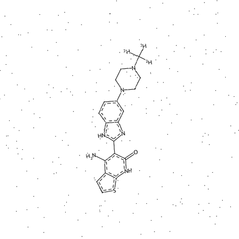 [2H]C([2H])([2H])N1CCN(c2ccc3[nH]c(-c4c(N)c5ccsc5[nH]c4=O)nc3c2)CC1